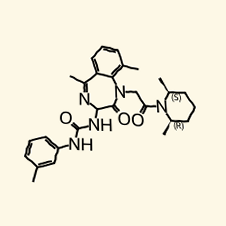 CC1=NC(NC(=O)Nc2cccc(C)c2)C(=O)N(CC(=O)N2[C@H](C)CCC[C@@H]2C)c2c(C)cccc21